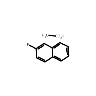 CC(=O)O.Fc1ccc2ccccc2c1